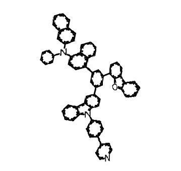 c1ccc(N(c2ccc3ccccc3c2)c2ccc(-c3cc(-c4ccc5c(c4)c4ccccc4n5-c4ccc(-c5ccncc5)cc4)cc(-c4cccc5c4oc4ccccc45)c3)c3ccccc23)cc1